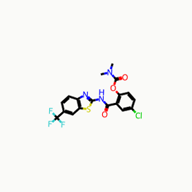 CN(C)C(=O)Oc1ccc(Cl)cc1C(=O)Nc1nc2ccc(C(F)(F)F)cc2s1